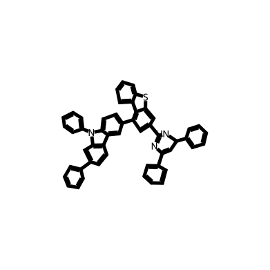 C1=C(c2ccccc2)N=C(c2cc(-c3ccc4c(c3)c3ccc(-c5ccccc5)cc3n4-c3ccccc3)c3c(c2)sc2ccccc23)NC1c1ccccc1